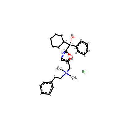 C[N+](C)(CCc1ccccc1)Cc1cnc([C@](O)(c2ccccc2)C2CCCCC2)o1.[Br-]